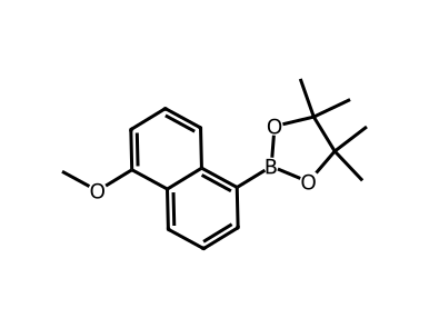 COc1cccc2c(B3OC(C)(C)C(C)(C)O3)cccc12